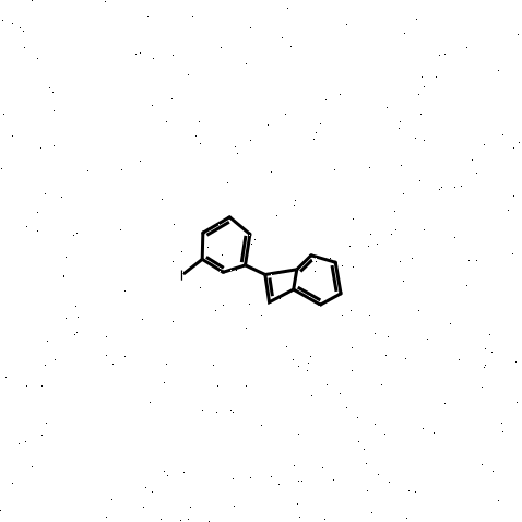 Ic1cccc(C2=Cc3ccccc32)c1